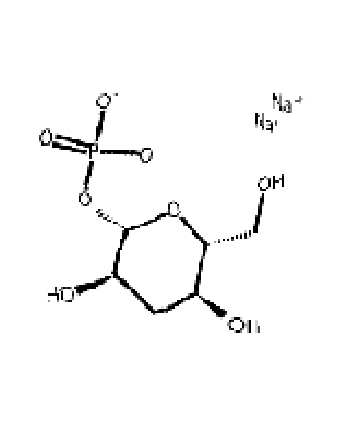 O=P([O-])([O-])O[C@@H]1O[C@H](CO)[C@@H](O)C[C@H]1O.[Na+].[Na+]